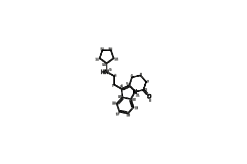 O=C1CCCc2c(CCNC3CCCC3)c3ccccc3n21